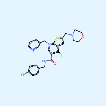 O=C(NCc1ccc(Cl)cc1)c1cn(Cc2cccnc2)c2sc(CN3CCOCC3)cc2c1=S